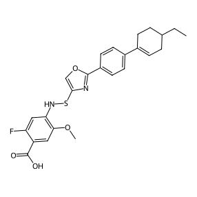 CCC1CC=C(c2ccc(-c3nc(SNc4cc(F)c(C(=O)O)cc4OC)co3)cc2)CC1